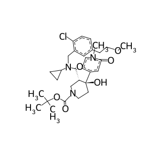 COCCc1ccc(Cl)c(CN(C(=O)[C@H]2CN(C(=O)OC(C)(C)C)CC[C@@]2(O)c2ccn(C)c(=O)c2)C2CC2)c1